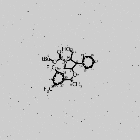 CC(OC1CN(C(=O)OC(C)(C)C)C(CO)C1c1ccccc1)c1cc(C(F)(F)F)cc(C(F)(F)F)c1